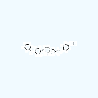 C[C@](O)(COc1ccc(O)cc1)CN1CCN(c2ccc(Cc3ccccc3)cc2)CC1